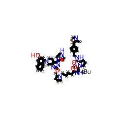 Cc1ncsc1-c1ccc(CNC(=O)[C@@H]2CCCN2C(=O)[C@@H](NC(=O)CCCCN2CCC[C@H]2COc2nc3c(c(N4CC5CCCC4CN5)n2)CCN(c2cc(O)cc4ccccc24)C3)C(C)(C)C)cc1